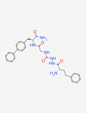 NC(=O)[C@H](Cc1ccc(-c2ccccc2)cc1)NC(=O)CNC(=O)NNC(=O)[C@@H](N)CCc1ccccc1